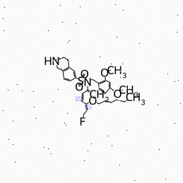 C=C(/C=C\C(=C/CF)OCCCCCC)N(Cc1ccc(OC)cc1OC)S(=O)(=O)c1ccc2c(c1)CCNC2